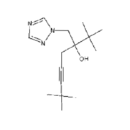 CC(C)(C)C#CCC(O)(Cn1cncn1)C(C)(C)C